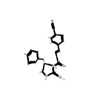 N#Cc1ccc(C=CC(=O)N2C(=O)OC[C@@H]2Cc2ccccc2)cc1